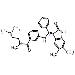 Cc1cc2c(cc1C(=O)O)NC(=O)/C2=C(/Nc1cccc(C(=O)N(C)CCN(C)C)c1)c1ccccc1